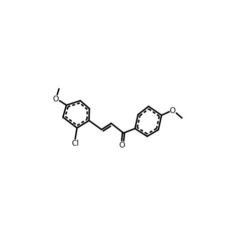 COc1ccc(C(=O)C=Cc2ccc(OC)cc2Cl)cc1